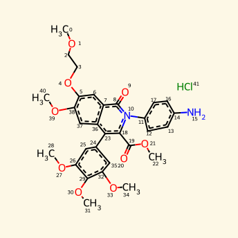 COCCOc1cc2c(=O)n(-c3ccc(N)cc3)c(C(=O)OC)c(-c3cc(OC)c(OC)c(OC)c3)c2cc1OC.Cl